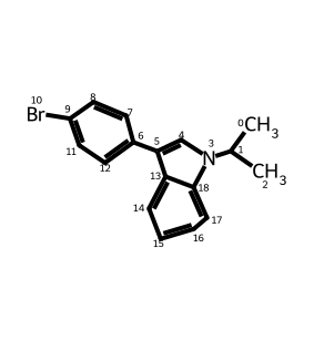 CC(C)n1cc(-c2ccc(Br)cc2)c2ccccc21